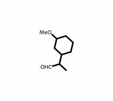 COC1CCCC(C(C)[C]=O)C1